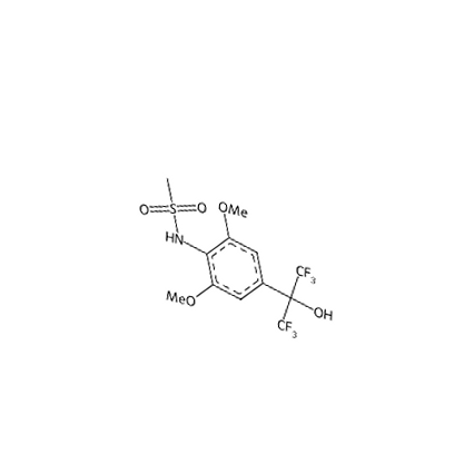 COc1cc(C(O)(C(F)(F)F)C(F)(F)F)cc(OC)c1NS(C)(=O)=O